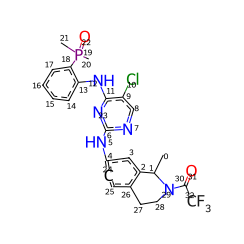 CC1c2cc(Nc3ncc(Cl)c(Nc4ccccc4P(C)(C)=O)n3)ccc2CCN1C(=O)C(F)(F)F